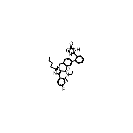 CCCCc1nc(-c2ccc(F)cc2)c(C(=O)N(CC)CC)n1Cc1ccc(-c2ccccc2-c2noc(=O)[nH]2)cc1